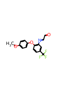 COc1ccc(Oc2ccc(C(F)(F)F)cc2N=CC=O)cc1